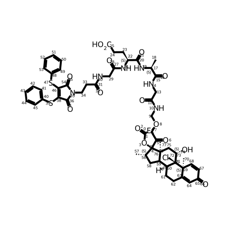 CCC(=O)O[C@]1(C(=O)COCNC(=O)CNC(=O)[C@H](C)NC(=O)[C@H](CCC(=O)O)NC(=O)CNC(=O)CCN2C(=O)C(Sc3ccccc3)=C(Sc3ccccc3)C2=O)[C@@H](C)CC2[C@@H]3CCC4=CC(=O)C=C[C@]4(C)[C@@]3(Cl)[C@@H](O)C[C@@]21C